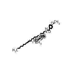 CCCCCCCCCCCCCCCCOCC(CNCC(=O)c1ccc(OCC)cc1)OP(=O)([O-])OCC[N+](C)(C)C